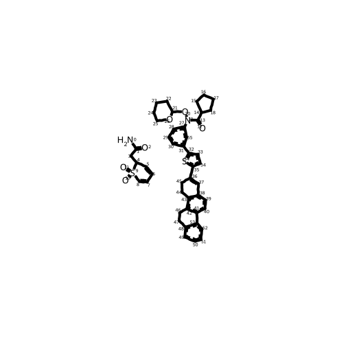 NC(=O)CC1C=CC=CS1(=O)=O.O=C(C1CCCC1)N(OC1CCCCO1)c1cccc(-c2ccc(C3=Cc4ccc5c(c4CC3)CCc3ccccc3-5)s2)c1